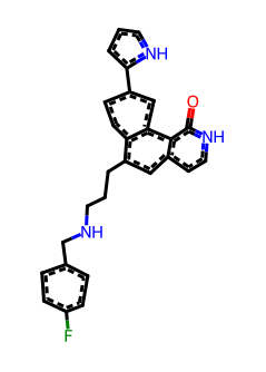 O=c1[nH]ccc2cc(CCCNCc3ccc(F)cc3)c3ccc(-c4ccc[nH]4)cc3c12